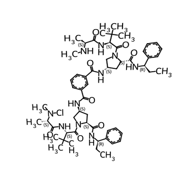 CC[C@@H](NC(=O)[C@@H]1C[C@H](NC(=O)c2cccc(C(=O)N[C@H]3C[C@@H](C(=O)N[C@H](CC)c4ccccc4)N(C(=O)[C@@H](NC(=O)[C@H](C)N(C)Cl)C(C)(C)C)C3)c2)CN1C(=O)[C@@H](NC(=O)[C@H](C)NC)C(C)(C)C)c1ccccc1